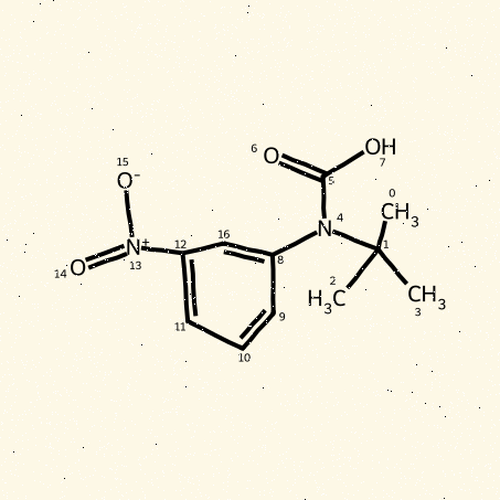 CC(C)(C)N(C(=O)O)c1cccc([N+](=O)[O-])c1